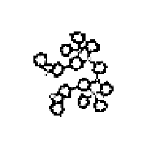 c1ccc([Si]2(c3ccccc3)c3ccccc3N(c3cccc(N4c5ccccc5[Si](c5ccccc5)(c5ccccc5)c5cc(-c6ccc7oc8ccccc8c7c6)ccc54)n3)c3ccc(-c4ccc5oc6ccccc6c5c4)cc32)cc1